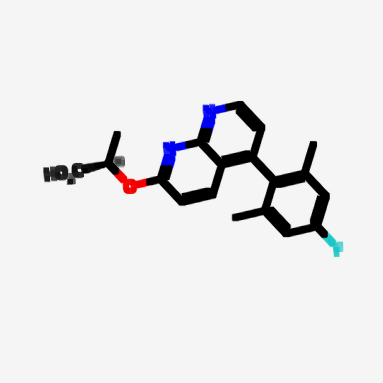 Cc1cc(F)cc(C)c1-c1ccnc2nc(O[C@H](C)C(=O)O)ccc12